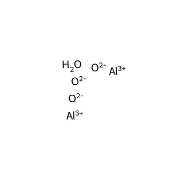 O.[Al+3].[Al+3].[O-2].[O-2].[O-2]